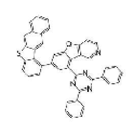 c1ccc(-c2nc(-c3ccccc3)nc(-c3cc(-c4cccc5sc6cc7ccccc7cc6c45)cc4oc5ccncc5c34)n2)cc1